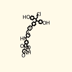 O=C1CCC(N2C(=O)c3ccc(NC4CCCN(CC5CCN(c6ccc(C(=C(CCCl)c7ccc(O)cc7)c7ccc(O)cc7)cc6)CC5)C4)cc3C2=O)C(=O)N1